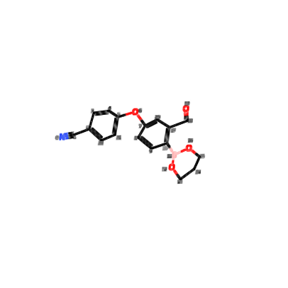 N#Cc1ccc(Oc2ccc(B3OCCCO3)c(C=O)c2)cc1